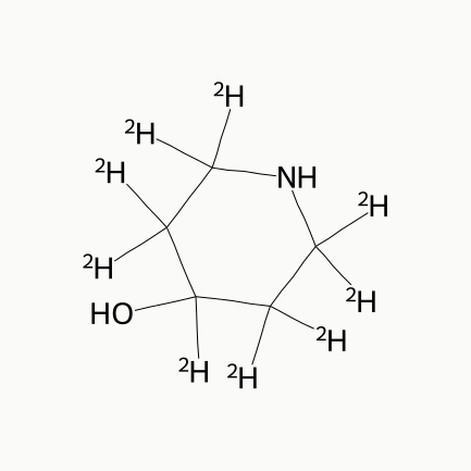 [2H]C1([2H])NC([2H])([2H])C([2H])([2H])C([2H])(O)C1([2H])[2H]